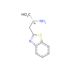 N[C@H](Cc1nc2ccccc2s1)C(=O)O